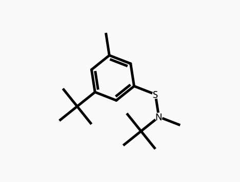 Cc1cc(SN(C)C(C)(C)C)cc(C(C)(C)C)c1